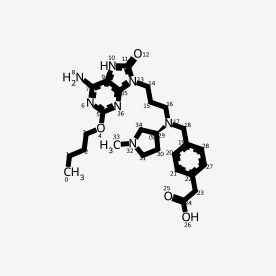 CCCCOc1nc(N)c2[nH]c(=O)n(CCCN(Cc3ccc(CC(=O)O)cc3)[C@H]3CCN(C)C3)c2n1